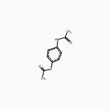 CC(=O)Nc1ccc(OC(C)=O)cc1